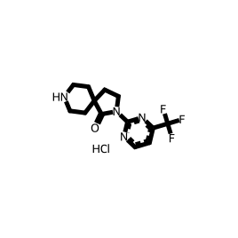 Cl.O=C1N(c2nccc(C(F)(F)F)n2)CCC12CCNCC2